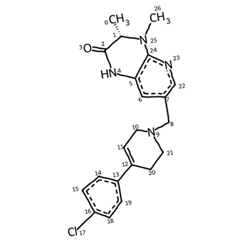 C[C@H]1C(=O)Nc2cc(CN3CC=C(c4ccc(Cl)cc4)CC3)cnc2N1C